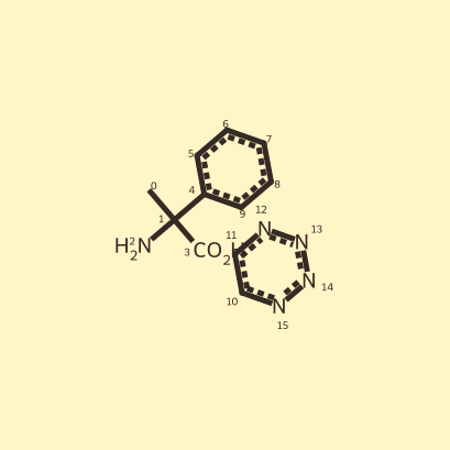 CC(N)(C(=O)O)c1ccccc1.c1cnnnn1